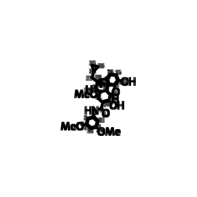 COc1cc(NC(=O)C2=C(O)[C@@H]3Oc4c(O)ccc5c4[C@@]34CCN(CC3CC3)[C@H](C5)[C@]4(OC)C2)cc(OC)c1